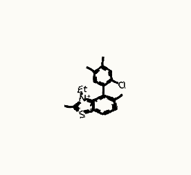 CC[n+]1c(C)sc2ccc(C)c(-c3cc(C)c(C)cc3Cl)c21